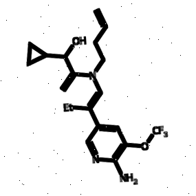 C=CCCN(/C=C(\CC)c1cnc(N)c(OC(F)(F)F)c1)C(=C)C(O)C1CC1